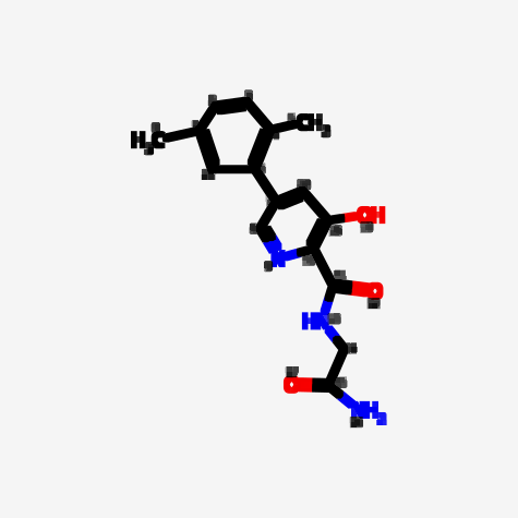 Cc1ccc(C)c(-c2cnc(C(=O)NCC(N)=O)c(O)c2)c1